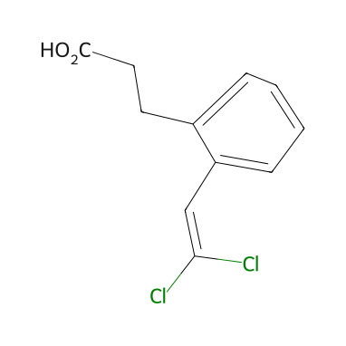 O=C(O)CCc1ccccc1C=C(Cl)Cl